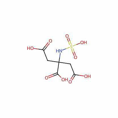 O=C(O)CC(CC(=O)O)(NS(=O)(=O)O)C(=O)O